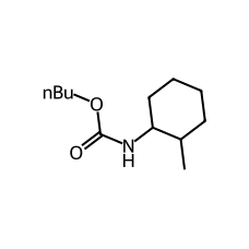 CCCCOC(=O)NC1CCCCC1C